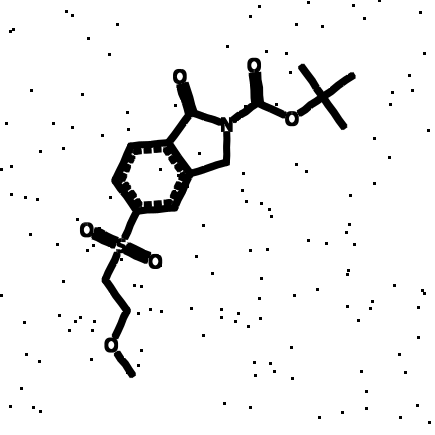 COCCS(=O)(=O)c1ccc2c(c1)CN(C(=O)OC(C)(C)C)C2=O